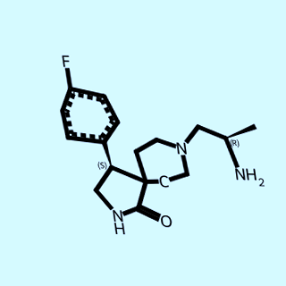 C[C@@H](N)CN1CCC2(CC1)C(=O)NC[C@H]2c1ccc(F)cc1